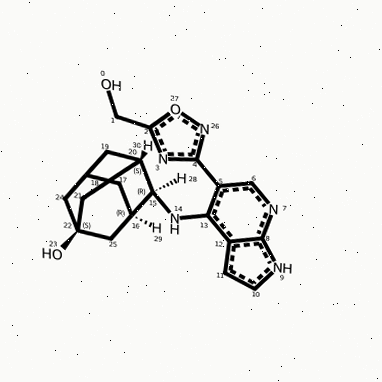 OCc1nc(-c2cnc3[nH]ccc3c2N[C@H]2[C@@H]3CC4C[C@H]2C[C@@](O)(C4)C3)no1